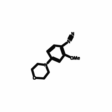 COc1cc(N2CCOCC2)ccc1[N+]#N